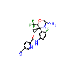 N#Cc1ccc(C(=O)Nc2ccc(F)c(C3(C4CC4)N=C(N)COC3C(F)(F)F)c2)nc1